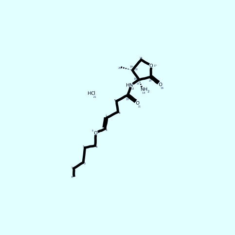 CCCCCOC=CCCC(=O)N[C@]1(N)C(=O)OC[C@H]1C.Cl